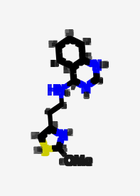 COc1nc(CCNc2ncnc3ccccc23)cs1